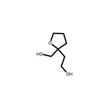 OCCC1(CO)CCCO1